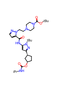 CC(C)NC(=O)O[C@@H]1CC[C@H](c2cc(NC(=O)c3ccnn3CCN3CCN(C(=O)OC(C)(C)C)CC3)n(C(C)(C)C)n2)C1